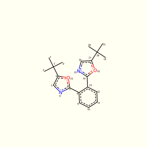 CC(C)(C)c1cnc(-c2ccccc2-c2ncc(C(C)(C)C)o2)o1